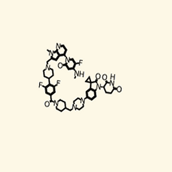 CNc1cc(=O)n(-c2ccnc3c2cc(CN2CCC(c4c(F)cc(C(=O)N5CCC(CN6CCN(c7ccc8c(c7)C7(CC7)C(=O)N8[C@@H]7CCC(=O)NC7=O)CC6)CC5)cc4F)CC2)n3C)cc1F